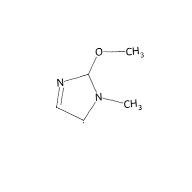 COC1N=C[CH]N1C